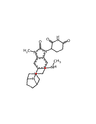 CNCCCN1C2CCC1CN(c1ccc3c(c1)n(C)c(=O)n3C1CCC(=O)NC1=O)C2